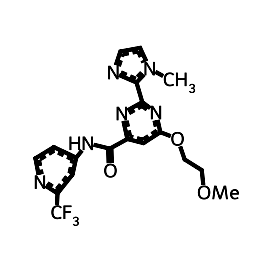 COCCOc1cc(C(=O)Nc2ccnc(C(F)(F)F)c2)nc(-c2nccn2C)n1